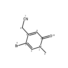 Cn1cc(Br)c(CC#N)cc1=O